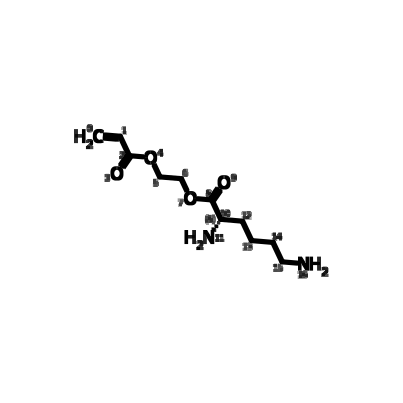 C=CC(=O)OCCOC(=O)[C@@H](N)CCCCN